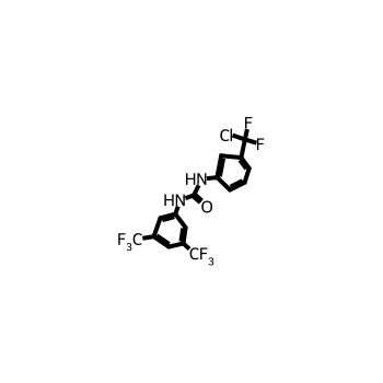 O=C(Nc1cc(C(F)(F)F)cc(C(F)(F)F)c1)Nc1cccc(C(F)(F)Cl)c1